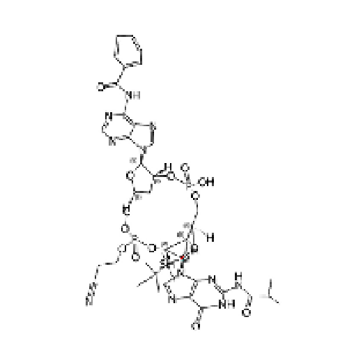 CC(C)C(=O)Nc1nc2c(ncn2[C@@H]2O[C@@H]3COP(=O)(O)O[C@@H]4C[C@@H](COP(=O)(OCCC#N)O[C@@H]2[C@@H]3O[Si](C)(C)C(C)(C)C)O[C@H]4n2cnc3c(NC(=O)c4ccccc4)ncnc32)c(=O)[nH]1